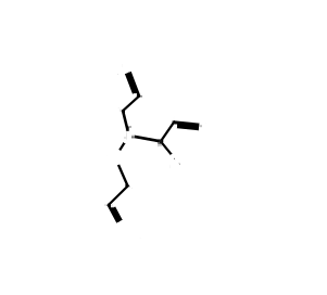 C=CC[S][Sn]([CH2]C=C)[CH](N)C=C